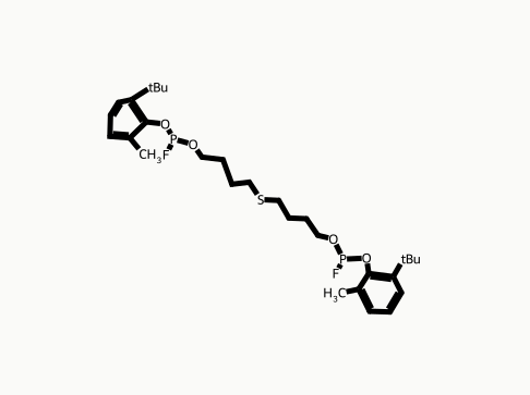 Cc1cccc(C(C)(C)C)c1OP(F)OCCCCSCCCCOP(F)Oc1c(C)cccc1C(C)(C)C